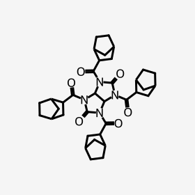 O=C(C1CC2CCC1C2)N1C(=O)N(C(=O)C2CC3CCC2C3)C2C1N(C(=O)C1CC3CCC1C3)C(=O)N2C(=O)C1CC2CCC1C2